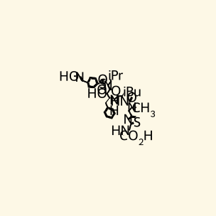 CC[C@H](C)[C@H](NC(=O)N(C)Cc1csc(CNC(=O)O)n1)C(=O)N[C@@H](Cc1ccccc1)[C@H](O)CN(CC(C)C)S(=O)(=O)c1ccc(C=NO)cc1